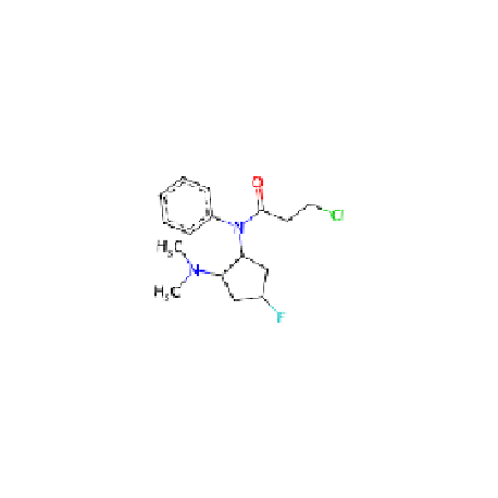 CN(C)C1CC(F)CC1N(C(=O)CCCl)c1ccccc1